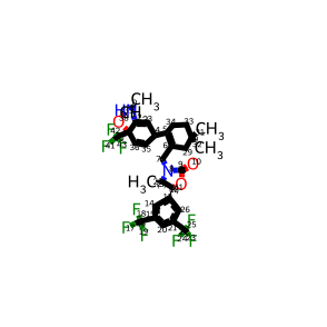 CNC1=CC(C2=C(CN3C(=O)O[C@H](c4cc(C(F)(F)F)cc(C(F)(F)F)c4)[C@@H]3C)CC(C)(C)CC2)C=CC1(OC)C(F)(F)F